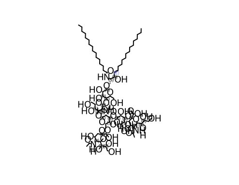 CCCCCCCCCCCCC/C=C/[C@@H](O)[C@H](CO[C@@H]1OC(CO)[C@@H](O[C@@H]2OC(CO)[C@H](O)[C@H](O[C@@H]3OC(CO[C@]4(C(=O)O)CC(O)[C@@H](NC(C)=O)C([C@H](O)[C@H](O)CO)O4)[C@@H](O)[C@H](O[C@@H]4OC(CO)[C@H](O)[C@H](O[C@]5(C(=O)O)CC(O)[C@@H](NC(C)=O)C([C@H](O)[C@H](O)CO)O5)C4O)C3NC(C)=O)C2O)[C@H](O)C1O)NC(=O)CCCCCCCCCCCCCCC